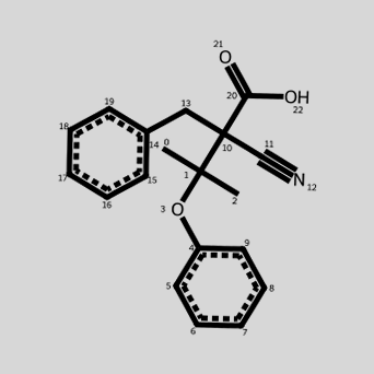 CC(C)(Oc1ccccc1)C(C#N)(Cc1ccccc1)C(=O)O